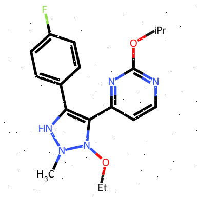 CCON1C(c2ccnc(OC(C)C)n2)=C(c2ccc(F)cc2)NN1C